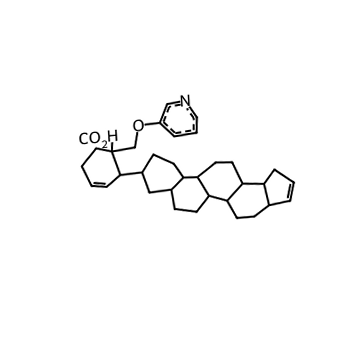 O=C(O)C1(COc2cccnc2)CCC=CC1C1CCC2C(CCC3C2CCC2C4CC=CC4CCC23)C1